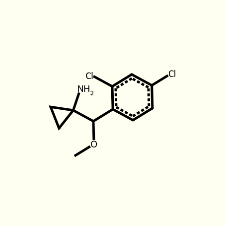 COC(c1ccc(Cl)cc1Cl)C1(N)CC1